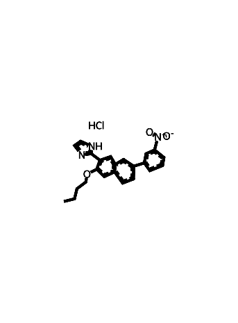 CCCCOc1cc2ccc(-c3cccc([N+](=O)[O-])c3)cc2cc1-c1ncc[nH]1.Cl